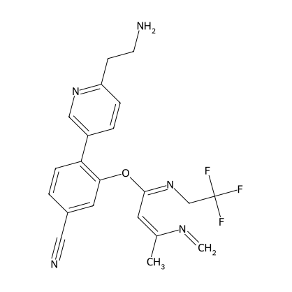 C=N/C(C)=C\C(=N/CC(F)(F)F)Oc1cc(C#N)ccc1-c1ccc(CCN)nc1